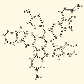 CC(C)(C)c1ccc(N2B3c4cc5oc6ccccc6c5cc4-n4c5ccc(C(C)(C)C)cc5c5c6sc7ccccc7c6c(c3c54)-c3cc4oc5cc(C(C)(C)C)ccc5c4cc32)cc1